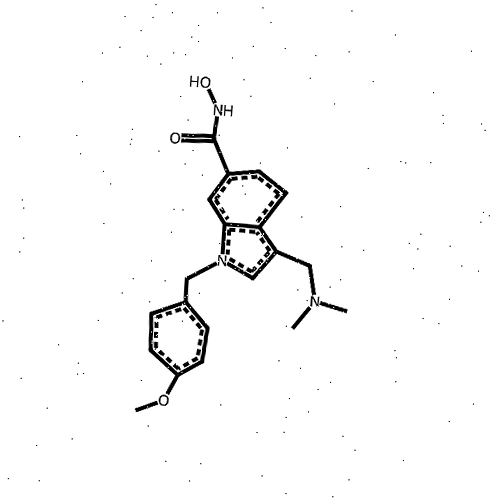 COc1ccc(Cn2cc(CN(C)C)c3ccc(C(=O)NO)cc32)cc1